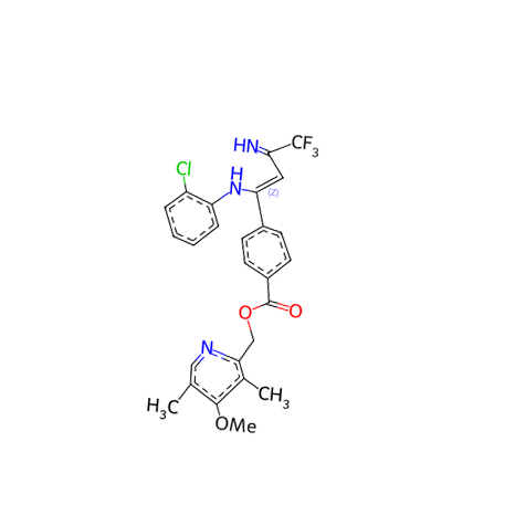 COc1c(C)cnc(COC(=O)c2ccc(/C(=C/C(=N)C(F)(F)F)Nc3ccccc3Cl)cc2)c1C